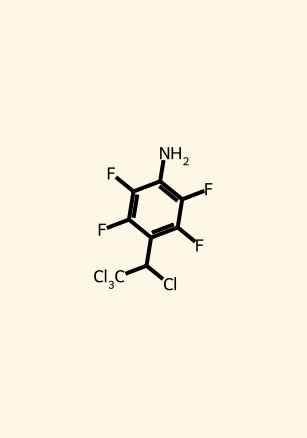 Nc1c(F)c(F)c(C(Cl)C(Cl)(Cl)Cl)c(F)c1F